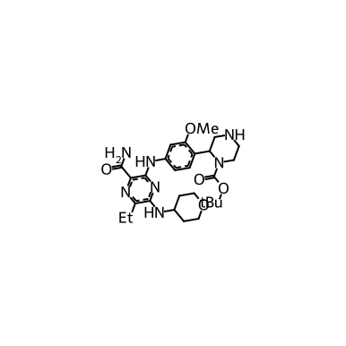 CCc1nc(C(N)=O)c(Nc2ccc(C3CNCCN3C(=O)OC(C)(C)C)c(OC)c2)nc1NC1CCOCC1